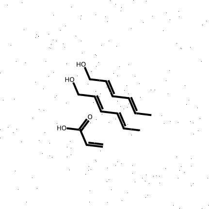 C/C=C/C=C/CO.C/C=C/C=C/CO.C=CC(=O)O